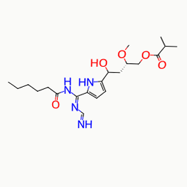 CCCCCC(=O)N/C(=N/C=N)c1ccc(C(O)C[C@@H](COC(=O)C(C)C)OC)[nH]1